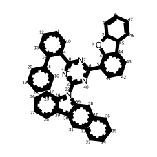 C1=CC2Oc3c(-c4nc(-c5ccccc5-c5ccccc5)nc(-n5c6ccccc6c6cc7ccccc7cc65)n4)cccc3C2C=C1